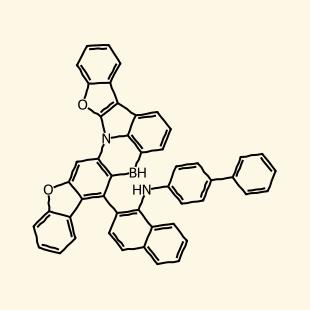 B1c2c(cc3oc4ccccc4c3c2-c2ccc3ccccc3c2Nc2ccc(-c3ccccc3)cc2)-n2c3oc4ccccc4c3c3cccc1c32